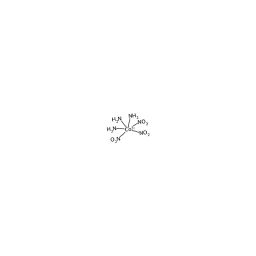 [NH2][Co-3]([NH2])([NH2])([N+](=O)[O-])([N+](=O)[O-])[N+](=O)[O-]